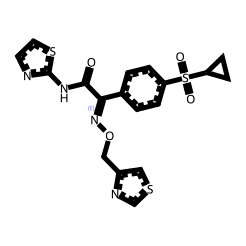 O=C(Nc1nccs1)/C(=N/OCc1cscn1)c1ccc(S(=O)(=O)C2CC2)cc1